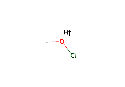 COCl.[Hf]